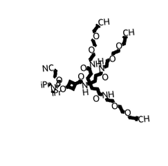 C#CCOCCOCCNC(=O)CCC(CCC(=O)NCCOCCOCC#C)(CCC(=O)NCCOCCOCC#C)NC(=O)C1CC(OP(OCCC#N)N(C(C)C)C(C)C)C1